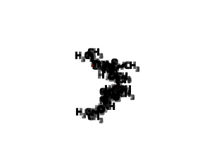 CCCCCn1c(=O)c2cnc(Nc3ccc(CCN(C)C)cc3)nc2n1-c1cccc(C(C)(O)CCC(C)CCCn2c(=O)c3cnc(Nc4ccc(CCN(C)C)cc4)nc3n2-c2cccc(C(C)(C)O)n2)n1